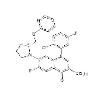 O=C(O)c1cn(-c2cc(F)ccc2Cl)c2cc(N3CCC[C@@H]3COc3ccccn3)c(F)cc2c1=O